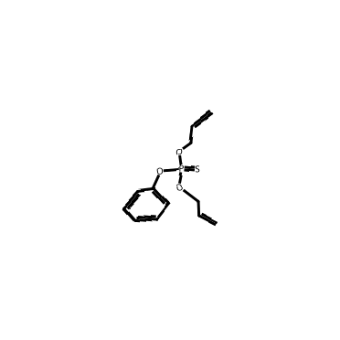 C=CCOP(=S)(OCC=C)Oc1ccccc1